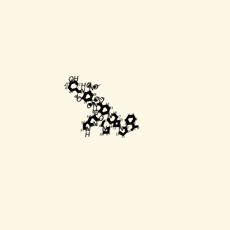 CC(C)c1ccccc1[C@H]1CCCN1C1CC2(CCN(c3ccc(C(=O)NS(=O)(=O)c4cc5c(c([N+](=O)[O-])c4)N[C@@H]([C@H]4CC[C@](C)(O)CC4)CO5)c(Oc4cc5cc[nH]c5nc4OCCN4CCC4)c3)CC2)C1